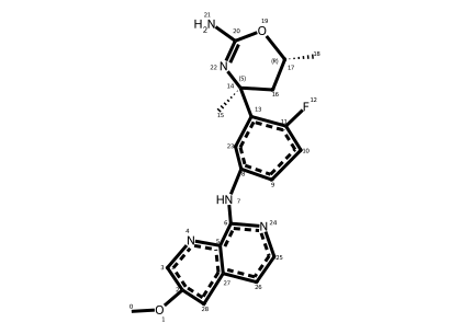 COc1cnc2c(Nc3ccc(F)c([C@]4(C)C[C@@H](C)OC(N)=N4)c3)nccc2c1